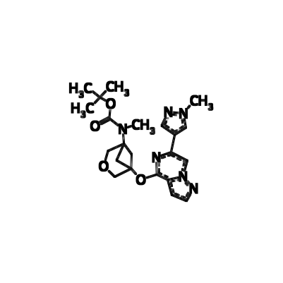 CN(C(=O)OC(C)(C)C)C12COCC(Oc3nc(-c4cnn(C)c4)cn4nccc34)(C1)C2